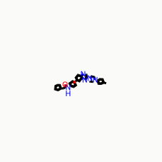 Cc1ccc(N2CCN(c3cnc4ccc(-c5ccc(NC(=O)Cc6ccccc6)cc5)cc4n3)CC2)cc1